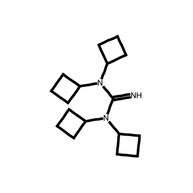 N=C(N(C1CCC1)C1CCC1)N(C1CCC1)C1CCC1